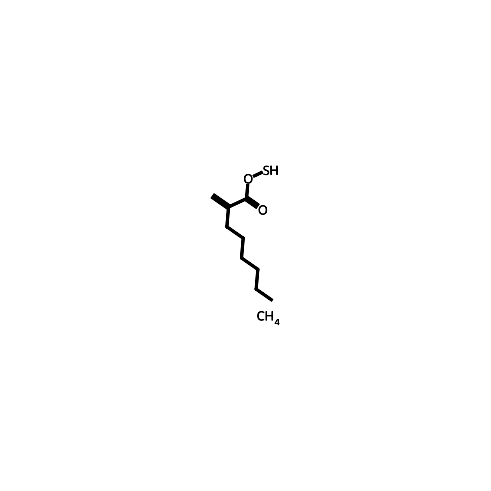 C.C=C(CCCCCC)C(=O)OS